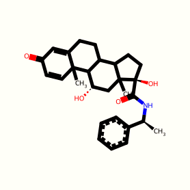 C[C@H](NC(=O)[C@@]1(O)CCC2C3CCC4=CC(=O)C=CC4(C)C3[C@@H](O)CC21C)c1ccccc1